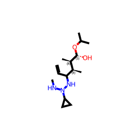 C=CC(NN(NC)C1CC1)[C@H](C)[C@@H](C)[C@@H](O)OC(C)C